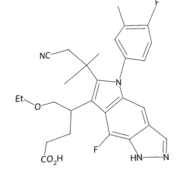 CCOCC(CCC(=O)O)c1c(C(C)(C)CC#N)n(-c2ccc(F)c(C)c2)c2cc3cn[nH]c3c(F)c12